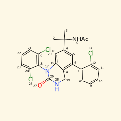 CC(=O)NC(C)(C)c1cc(-c2ccccc2Cl)c2c(c1)N(c1c(Cl)cccc1Cl)C(=O)NC2